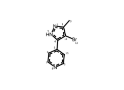 Cc1n[nH]c(-c2ccncc2)c1Br